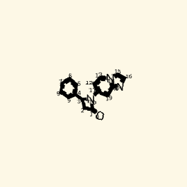 O=C1CC(c2ccccc2)N1c1ccn2ccnc2c1